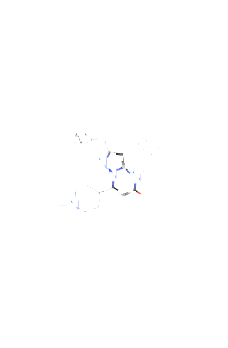 CCOC(=O)c1c(SC)nn2c(C3CCNCC3)cc(=O)[nH]c12